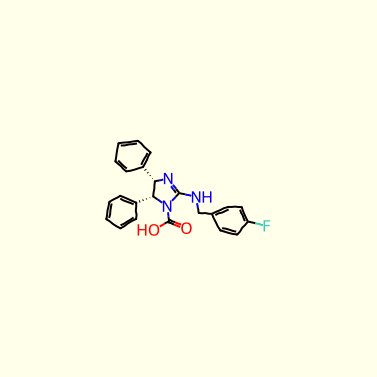 O=C(O)N1C(NCc2ccc(F)cc2)=N[C@@H](c2ccccc2)[C@H]1c1ccccc1